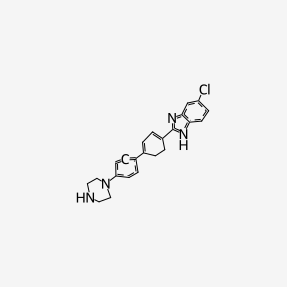 Clc1ccc2[nH]c(C3=CC=C(c4ccc(N5CCNCC5)cc4)CC3)nc2c1